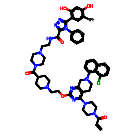 C=CC(=O)N1CCN(c2nc(OCCN3CCC(C(=O)N4CCN(CCNC(=O)c5nnc(-c6cc(C(C)C)c(O)cc6O)n5-c5ccccc5)CC4)CC3)nc3c2CCN(c2cccc4cccc(Cl)c24)C3)CC1